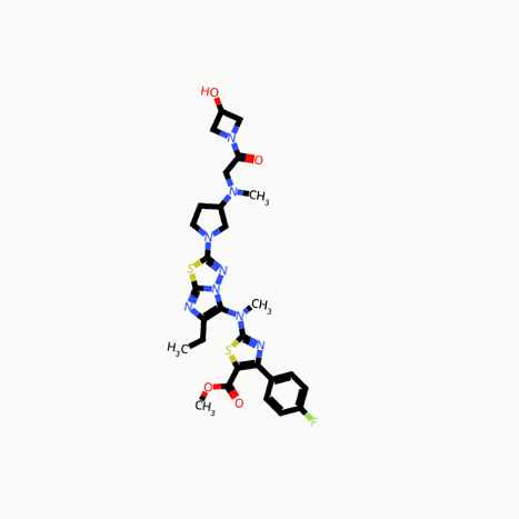 CCc1nc2sc(N3CCC(N(C)CC(=O)N4CC(O)C4)C3)nn2c1N(C)c1nc(-c2ccc(F)cc2)c(C(=O)OC)s1